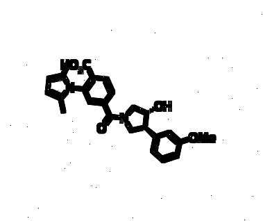 COc1cccc([C@H]2CN(C(=O)c3ccc(C(=O)O)c(-n4c(C)ccc4C)c3)C[C@@H]2O)c1